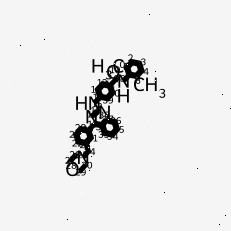 Cc1cccc(C)c1NC(=O)c1ccc(Nc2nc(-c3cccc(CN4CCOCC4)c3)c3ccccc3n2)cc1